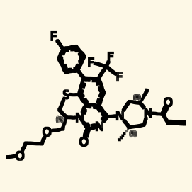 C=CC(=O)N1C[C@H](C)N(c2nc(=O)n3c4c(c(-c5ccc(F)cc5)c(C(F)(F)F)cc24)SC[C@@H]3COCCOC)C[C@H]1C